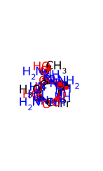 CC(C)C[C@@H]1NC(=O)[C@@H](Cc2ccccc2)NC(=O)[C@@H](CCN)NC(=O)[C@@H](NC(=O)[C@H](CCN)NC(=O)CC(C)O)CCNC(=O)[C@@H]([C@H](C)O)NC(=O)[C@H](CCN)NC(=O)CNC1=O